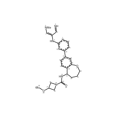 CN/C=C(\C=N)Nc1nccc(-c2ccc3c(c2)OCCCC3NC(=O)N2CC(OC(C)(C)C)C2)n1